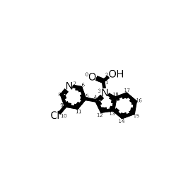 O=C(O)n1c(-c2cncc(Cl)c2)cc2ccccc21